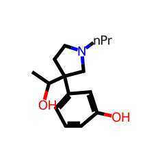 CCCN1CCC(c2cccc(O)c2)(C(C)O)C1